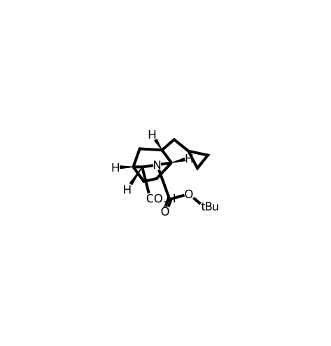 CC(C)(C)OC(=O)N1[C@H](C(=O)O)[C@@H]2CC[C@H]1[C@@H](CC1CC1)C2